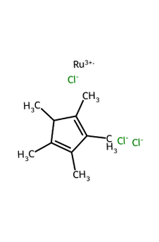 CC1=C(C)C(C)C(C)=C1C.[Cl-].[Cl-].[Cl-].[Ru+3]